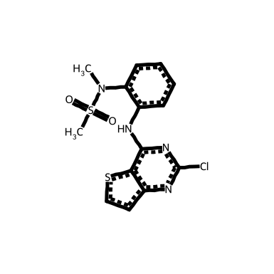 CN(c1ccccc1Nc1nc(Cl)nc2ccsc12)S(C)(=O)=O